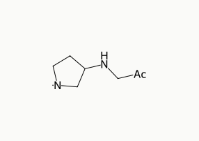 CC(=O)CNC1CC[N]C1